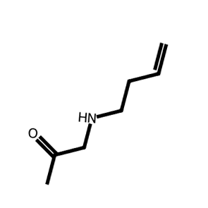 C=CCCNCC(C)=O